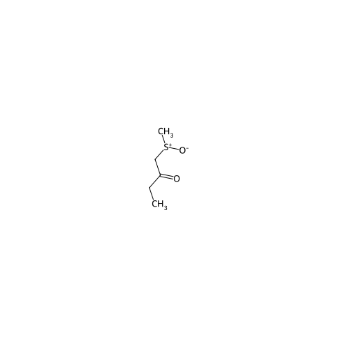 CCC(=O)C[S+](C)[O-]